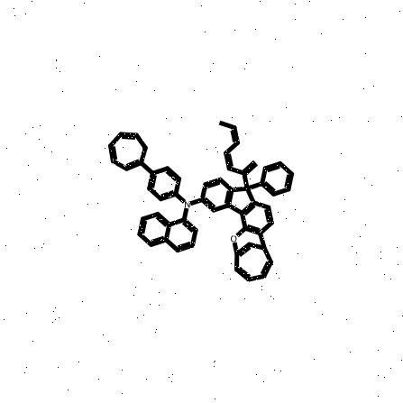 C=C(/C=C\C=C/C)C1(c2ccccc2)c2ccc(N(c3ccc(C4=CC=CC=CC4)cc3)c3cccc4ccccc34)cc2-c2c1ccc1c2OC2=CC1C=CC=C2